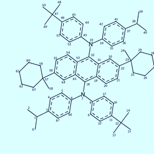 CC(C)c1ccc(N(c2ccc(C(C)(C)C)cc2)c2c3ccc(C4(C)CCCCC4)cc3c(N(c3ccc(C(C)C)cc3)c3ccc(C(C)(C)C)cc3)c3ccc(C4(C)CCCCC4)cc23)cc1